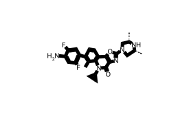 Cc1c(-c2cc(F)c(N)cc2F)ccc2c3oc(N4C[C@@H](C)N[C@@H](C)C4)nc3c(=O)n(C3CC3)c12